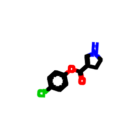 O=C(Oc1ccc(Cl)cc1)C1=CNCC1